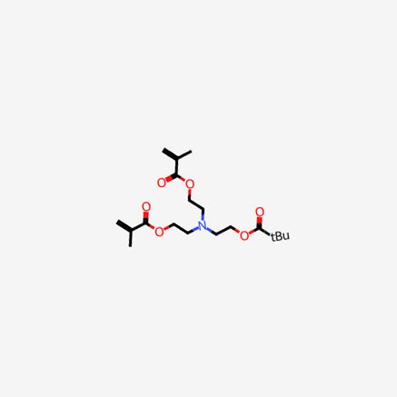 C=C(C)C(=O)OCCN(CCOC(=O)C(=C)C)CCOC(=O)C(C)(C)C